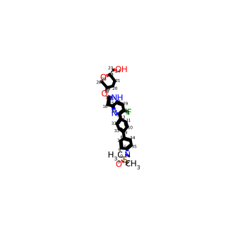 CS(C)(=O)=Nc1ccc(-c2ccc(-c3nc4cc(O[C@@H]5CC[C@@H](CO)OC5)[nH]c4cc3F)cc2)cc1